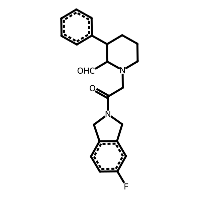 O=CC1C(c2ccccc2)CCCN1CC(=O)N1Cc2ccc(F)cc2C1